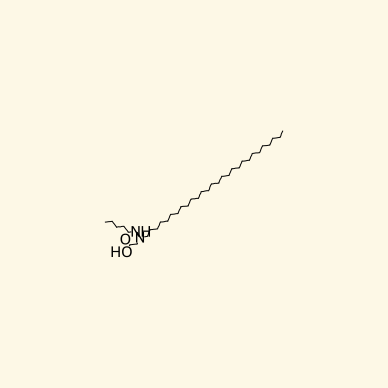 CCCCCCCCCCCCCCCCCCCCCCCCCCCCN(CC(=O)O)NCCCCC